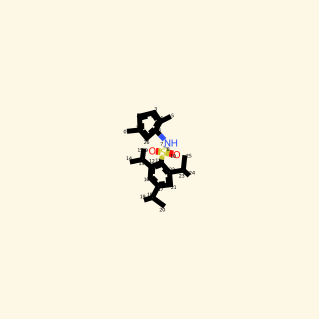 Cc1ccc(C)c(NS(=O)(=O)c2c(C(C)C)cc(C(C)C)cc2C(C)C)c1